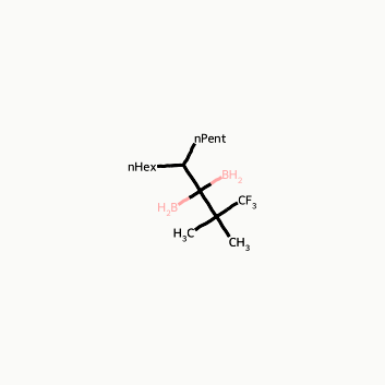 BC(B)(C(CCCCC)CCCCCC)C(C)(C)C(F)(F)F